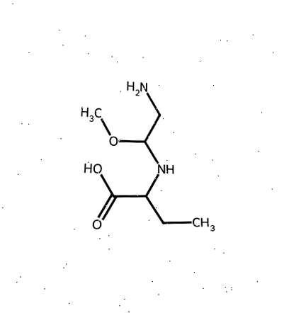 CCC(NC(CN)OC)C(=O)O